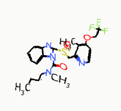 CC[CH]CN(C)C(=O)n1c([S@@+]([O-])Cc2nccc(OCC(F)(F)F)c2C)nc2ccccc21